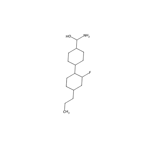 CCCC1CCC(C2CCC(C(N)O)CC2)C(F)C1